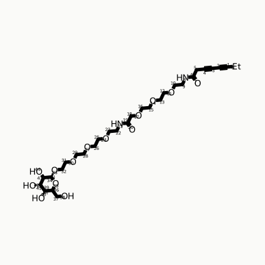 CCC#CC#CCC(=O)NCCOCCOCCOCC(=O)NCCOCCOCCOCCO[C@H]1OC(CO)[C@@H](O)[C@H](O)C1O